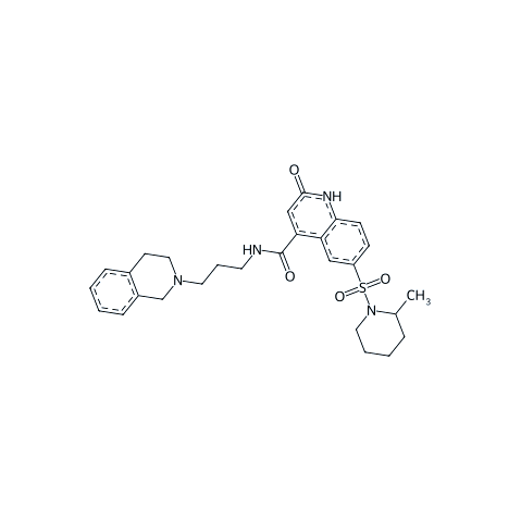 CC1CCCCN1S(=O)(=O)c1ccc2[nH]c(=O)cc(C(=O)NCCCN3CCc4ccccc4C3)c2c1